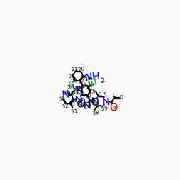 C=CC(=O)N1CC(C)N(/C(=N/C)c2cc(Cl)c(C3=C(N)CCC=C3F)nc2N(C=O)c2c(C)ccnc2C(C)C)C(C)C1